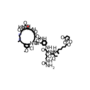 C=C(CCCCC(=O)ON1C(=O)CCC1=O)N[C@H](C(=O)N[C@@H](CCCNC(N)=O)C(=O)Nc1ccc(NC(=O)O[C@H]2CC(=O)N(C)c3cc(cc(OC)c3Cl)C/C(C)=C/C=C/[C@@H](OC)[C@@]3(O)C[C@H](OC(=O)N3)[C@@H](C)[C@@H]3O[C@@]23C)c(Br)c1)C(C)OC